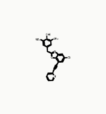 CC(C)(C)c1cc(Cc2nc3cc(Cl)cc(C#Cc4ccccn4)c3o2)cc(C(C)(C)C)c1O